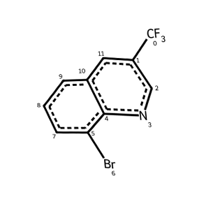 FC(F)(F)c1cnc2c(Br)cccc2c1